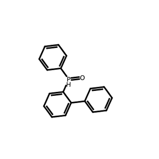 O=[PH](c1ccccc1)c1ccccc1-c1ccccc1